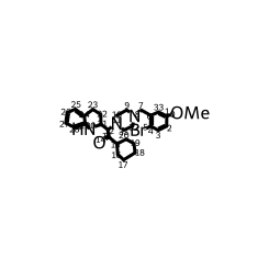 COc1ccc(Br)c(CN2CCN(C(C(=O)C3CCCCC3)C3CCc4ccccc4N3)CC2)c1